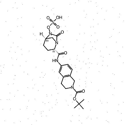 CC(C)(C)OC(=O)N1CCc2cc(NC(=O)[C@@H]3CC[C@@H]4CN3C(=O)N4OS(=O)(=O)O)ccc2C1